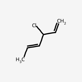 C=CC(Cl)C=CC